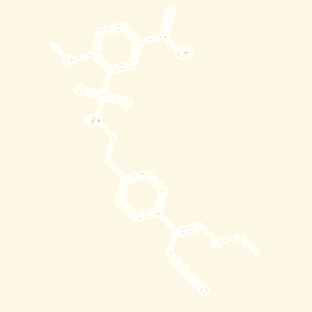 CCOC=C(C=C=O)c1ccc(CCNS(=O)(=O)c2cc(C(=O)O)ccc2OC)cc1